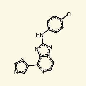 Clc1ccc(Nc2nc3c(-c4cncs4)nccn3n2)cc1